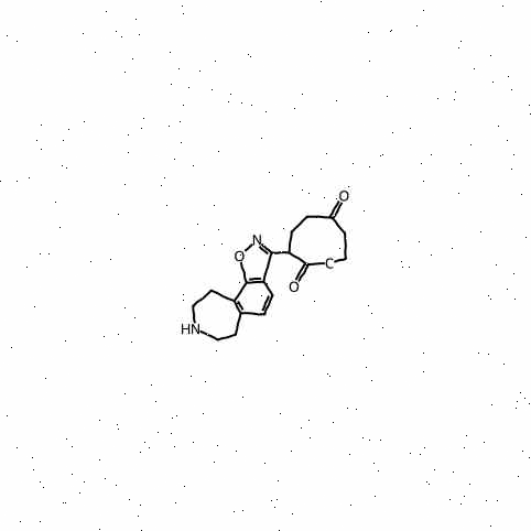 O=C1CCCC(=O)C(c2noc3c4c(ccc23)CCNCC4)CC1